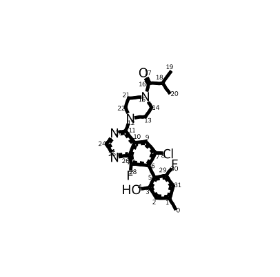 Cc1cc(O)c(-c2c(Cl)cc3c(N4CCN(C(=O)C(C)C)CC4)ncnc3c2F)c(F)c1